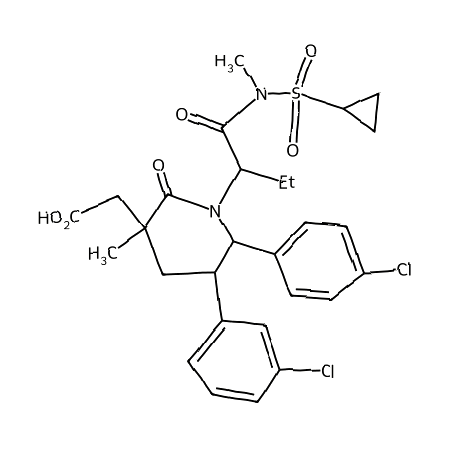 CCC(C(=O)N(C)S(=O)(=O)C1CC1)N1C(=O)C(C)(CC(=O)O)CC(c2cccc(Cl)c2)C1c1ccc(Cl)cc1